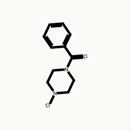 O=C(c1ccccc1)N1CCN(Cl)CC1